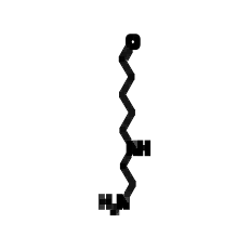 NCCNCCCCC=O